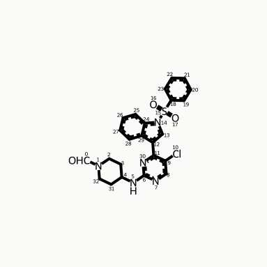 O=CN1CCC(Nc2ncc(Cl)c(-c3cn(S(=O)(=O)c4ccccc4)c4ccccc34)n2)CC1